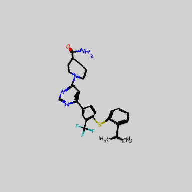 CC(C)c1ccccc1Sc1ccc(-c2cc(N3CCC(C(N)=O)CC3)ncn2)cc1C(F)(F)F